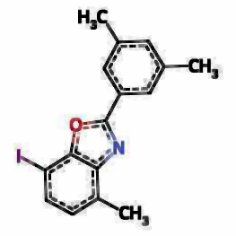 Cc1cc(C)cc(-c2nc3c(C)ccc(I)c3o2)c1